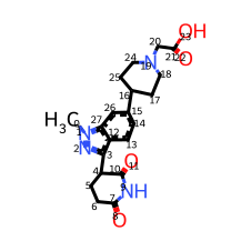 Cn1nc(C2CCC(=O)NC2=O)c2ccc(C3CCN(CC(=O)O)CC3)cc21